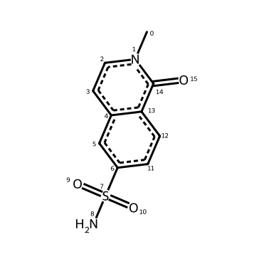 Cn1ccc2cc(S(N)(=O)=O)ccc2c1=O